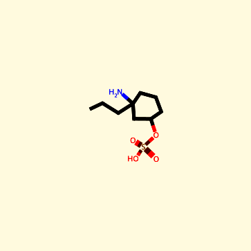 CCCC1(N)CCCC(OS(=O)(=O)O)C1